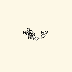 CNc1ccc(Cc2ccc(NC(=O)NC(=O)NC(C)=O)cc2)cc1